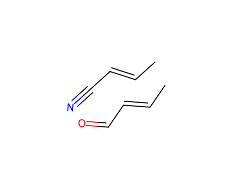 C/C=C/C#N.C/C=C/C=O